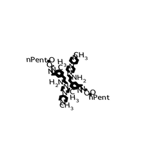 CCCCCC(=O)OCn1cc2cc(C[C@@H](N)CN3CCN(C4CCN(C)CC4)CC3)cc(C)c2n1.CCCCCC(=O)OCn1ncc2cc(C[C@@H](N)CN3CCN(C4CCN(C)CC4)CC3)cc(C)c21